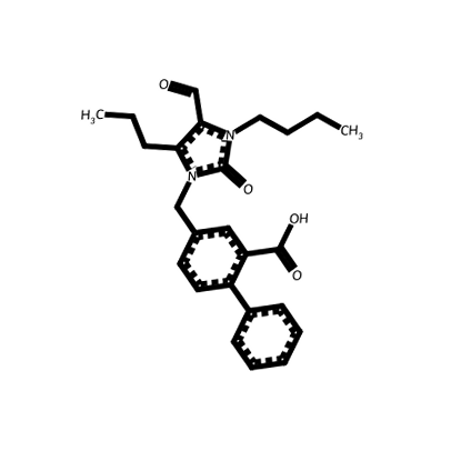 CCCCn1c(C=O)c(CCC)n(Cc2ccc(-c3ccccc3)c(C(=O)O)c2)c1=O